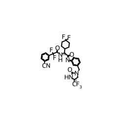 N#Cc1cccc(C(F)(F)C(=O)N[C@H](c2nc3cc(CN4C[C@@H](C(F)(F)F)NC4=O)ccc3o2)C2CCC(F)(F)CC2)c1